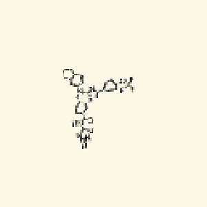 O=C(Nc1nn[nH]n1)c1ccc(CN(c2ccc3c(c2)CCC3)c2nc(-c3ccc(OC(F)(F)F)cc3)cs2)cc1